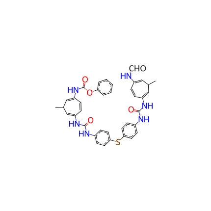 CC1C=C(NC=O)C=CC(NC(=O)Nc2ccc(Sc3ccc(NC(=O)NC4=CC(C)C=C(NC(=O)Oc5ccccc5)C=C4)cc3)cc2)=C1